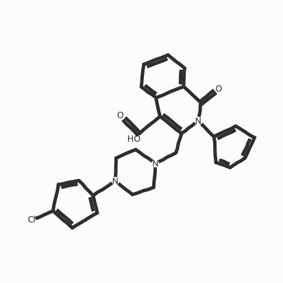 O=C(O)c1c(CN2CCN(c3ccc(Cl)cc3)CC2)n(-c2ccccc2)c(=O)c2ccccc12